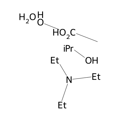 CC(=O)O.CC(C)O.CCN(CC)CC.CO.O